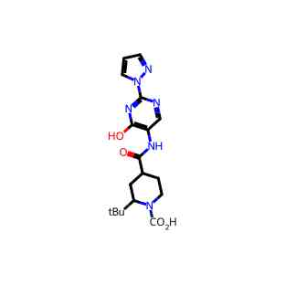 CC(C)(C)C1CC(C(=O)Nc2cnc(-n3cccn3)nc2O)CCN1C(=O)O